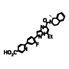 CCc1cc(C(=O)N2CCc3ccccc3[C@H]2C)nc2cc(-c3ccc(-c4ccc(C(=O)O)cn4)cc3F)nn12